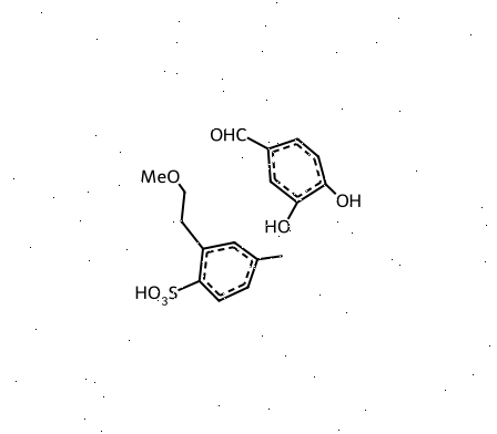 COCCc1cc(C)ccc1S(=O)(=O)O.O=Cc1ccc(O)c(O)c1